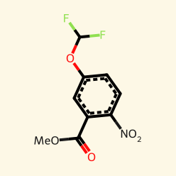 COC(=O)c1cc(OC(F)F)ccc1[N+](=O)[O-]